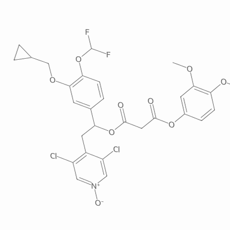 COc1ccc(OC(=O)CC(=O)OC(Cc2c(Cl)c[n+]([O-])cc2Cl)c2ccc(OC(F)F)c(OCC3CC3)c2)cc1OC